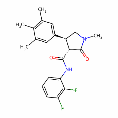 Cc1cc([C@H]2CN(C)C(=O)[C@@H]2C(=O)Nc2cccc(F)c2F)cc(C)c1C